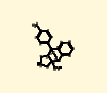 Cc1ccc(C23CCC(c4ccccc42)C2(C(=O)O)CNCC32)cc1